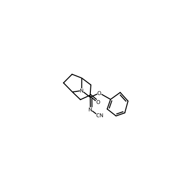 N#C/N=C(\Oc1ccccc1)N1C2CCC1CC(=O)C2